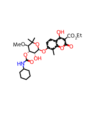 CCOC(=O)c1c(O)c2ccc(O[C@@H]3OC(C)(C)[C@H](OC)[C@@H](OC(=O)NC4CCCCC4)[C@H]3O)c(C)c2oc1=O